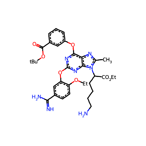 CCOC(=O)C(CCCCN)n1c(C)nc2c(Oc3cccc(C(=O)OC(C)(C)C)c3)nc(Oc3cc(C(=N)N)ccc3OCC)nc21